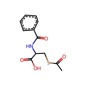 CC(=O)SCC(NC(=O)c1ccccc1)C(=O)O